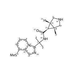 CSc1cccn2c(C(C)(C)NC(=O)[C@H]3[C@@H]4CNC[C@@]43C)ncc12